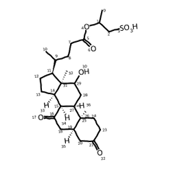 CC(CS(=O)(=O)O)OC(=O)CCC(C)[C@@H]1CC[C@@H]2[C@@H]3C(=O)C[C@@H]4CC(=O)CC[C@]4(C)[C@@H]3CC(O)[C@@]21C